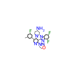 Cc1cc(F)cc(-c2cnc(N3CCOCC3)c(-c3nc4cc(F)cc(F)c4[nH]3)c2N2CCC(N)CC2)c1